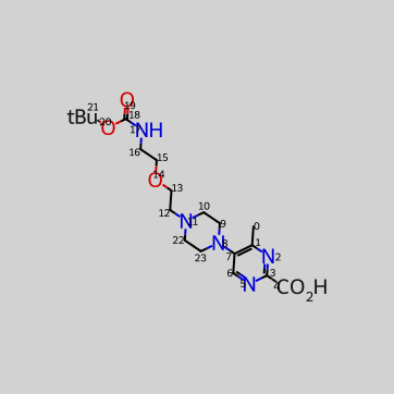 Cc1nc(C(=O)O)ncc1N1CCN(CCOCCNC(=O)OC(C)(C)C)CC1